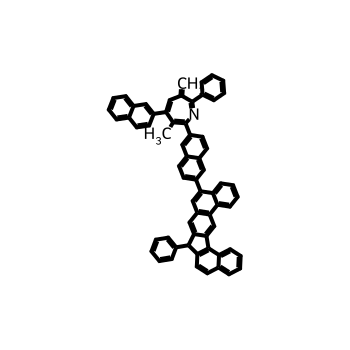 C=C1C=C(c2ccc3ccccc3c2)C(C)=C(c2ccc3cc(-c4cc5cc6c(cc5c5ccccc45)-c4c(ccc5ccccc45)C6c4ccccc4)ccc3c2)N=C1c1ccccc1